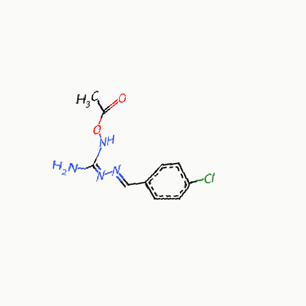 CC(=O)ONC(N)=NN=Cc1ccc(Cl)cc1